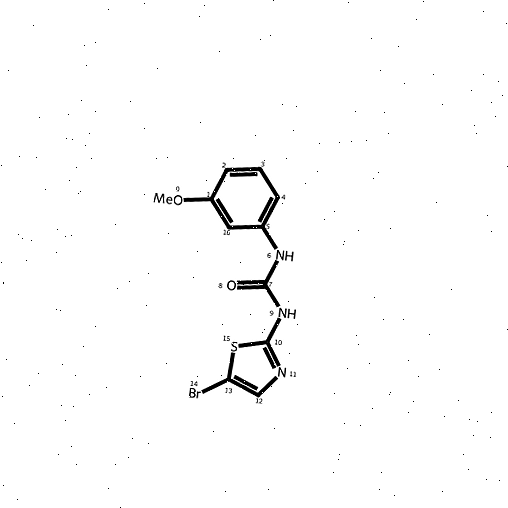 COc1cccc(NC(=O)Nc2ncc(Br)s2)c1